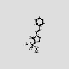 CCOP(=O)(OCC)C1CCN(CCc2ccccc2)C1=O